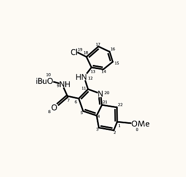 COc1ccc2cc(C(=O)NOCC(C)C)c(Nc3ccccc3Cl)nc2c1